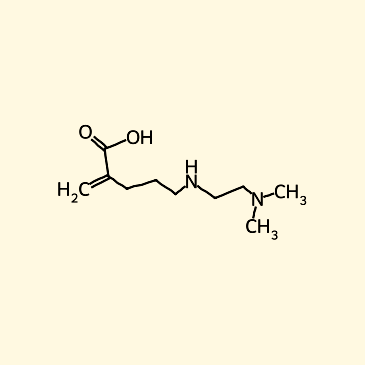 C=C(CCCNCCN(C)C)C(=O)O